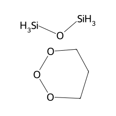 C1COOOC1.[SiH3]O[SiH3]